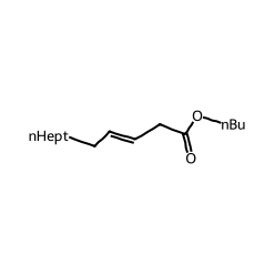 CCCCCCCC/C=C/CC(=O)OCCCC